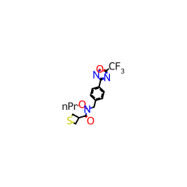 CCCON(Cc1ccc(-c2noc(C(F)(F)F)n2)cc1)C(=O)C1CSC1